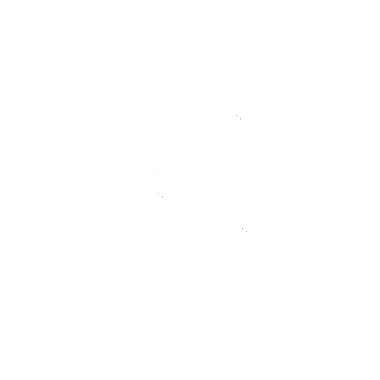 CC(=O)n1cc(C)c2cnc3ccc([N+](=O)[O-])cc3c21